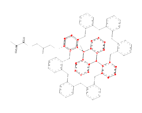 C=C(C)C(=O)OCC(O)COc1ccccc1Cc1ccccc1Cc1ccccc1Cc1ccccc1Cc1ccccc1Cc1ccccc1Cc1ccccc1Cc1ccccc1Cc1ccccc1Cc1ccccc1Cc1ccccc1Cc1ccccc1Cc1ccccc1Cc1ccccc1CC